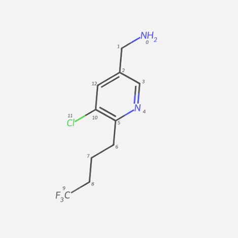 NCc1cnc(CCCC(F)(F)F)c(Cl)c1